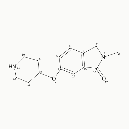 CN1Cc2ccc(OC3CCNCC3)cc2C1=O